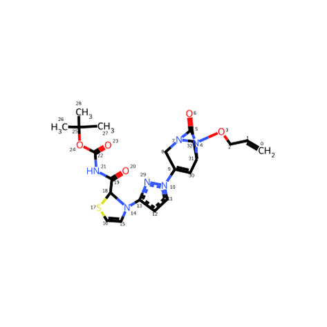 C=CCON1C(=O)N2CC(n3ccc(N4C=CSC4C(=O)NC(=O)OC(C)(C)C)n3)=CC1C2